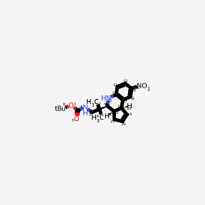 CC(C)(C)OC(=O)NCC(C)(C)[C@H]1Nc2ccc([N+](=O)[O-])cc2[C@H]2C=CC[C@H]21